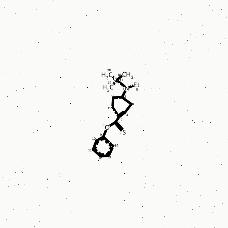 CCN(C1CC=C(C(=S)Oc2ccccc2)CC1)[Si](C)(C)C